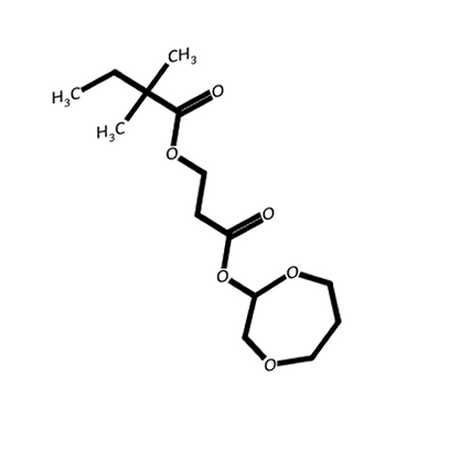 CCC(C)(C)C(=O)OCCC(=O)OC1COCCCO1